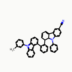 Cc1cccc(-n2c3ccccc3c3c(-c4ccccc4C4C=CC=C5c6cc(C#N)ccc6N(c6ccccc6)C54)cccc32)c1